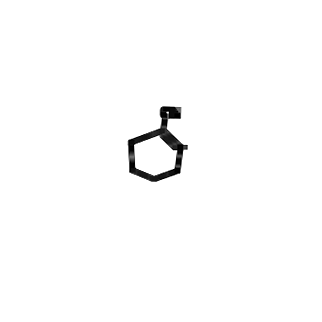 N#CC1=[C]CCCC1